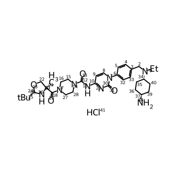 CCN(Cc1ccc(-n2ccc(NC(=O)N3CCN(C(=O)[C@]4(C)CO[C@H](C(C)(C)C)N4)CC3)nc2=O)cc1)[C@H]1CC[C@H](N)CC1.Cl